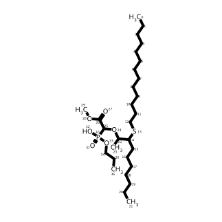 CCCCCCCCCCCCCSC(CCCCCCC)C(C)OC(C(=O)OC)P(=O)(O)OCCC